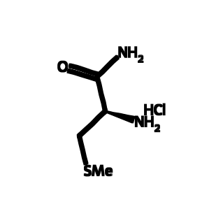 CSC[C@H](N)C(N)=O.Cl